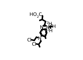 [2H]C([2H])([2H])n1c(CC(C)CC(=O)O)nc2cc(N(CCCl)CC(C)Cl)c(C)cc21